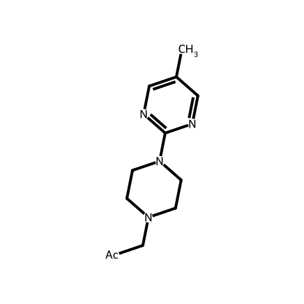 CC(=O)CN1CCN(c2ncc(C)cn2)CC1